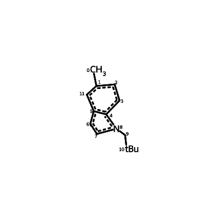 Cc1ccc2c([c]cn2CC(C)(C)C)c1